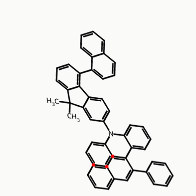 CC1(C)c2cc(N(c3ccccc3)c3ccccc3-c3cc4ccccc4cc3-c3ccccc3)ccc2-c2c(-c3cccc4ccccc34)cccc21